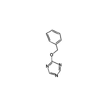 c1ccc(COc2ncncn2)cc1